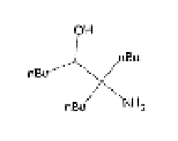 CCCCC(O)C(N)(CCCC)CCCC